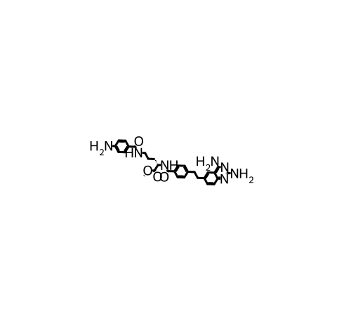 COC(=O)[C@H](CCCNC(=O)c1ccc(N)cc1)NC(=O)c1ccc(CCc2ccc3nc(N)nc(N)c3c2)cc1